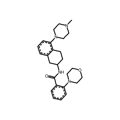 CN1CCN(c2cccc3c2CCC(NC(=O)c2ccccc2N2CCOCC2)C3)CC1